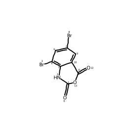 O=c1[nH]c2c(Br)cc(Br)cc2c(=O)o1